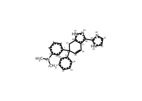 CN(C)c1cccc(C2(c3ccccc3)C=Cc3c(-c4ncc[nH]4)n[nH]c3C2)c1